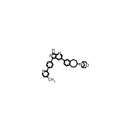 Cc1ccnc(-c2ccc(-c3n[nH]c4ncc(-c5ccc6c(c5)CC[C@@H](N5C7COCC5C7)CC6)cc34)cc2)c1